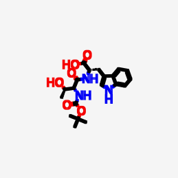 C[C@@H](O)[C@H](NC(=O)OC(C)(C)C)C(=O)N[C@@H](Cc1c[nH]c2ccccc12)C(=O)O